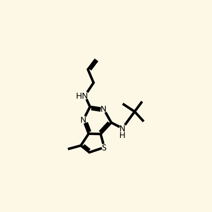 C=CCNc1nc(NC(C)(C)C)c2scc(C)c2n1